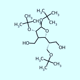 CC(C)(C)OC[C@@H](CO)[C@H]1O[C@H](OC(C)(C)C)[C@@H](OC(C)(C)C)C1CO